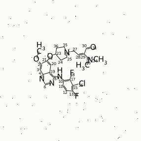 COc1cc2ncnc(Nc3ccc(F)c(Cl)c3F)c2cc1OC1CCN(C/C=C(\C=O)N(C)C)CC1